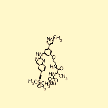 C[C@@H](NC(=O)OC(C)(C)C)C(=O)NCCOc1cc(Nc2ncc3cc(C#C[Si](C)(C)C)ccc3n2)cc(-c2cnn(C)c2)c1